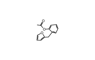 CC(=O)Oc1ccccc1Cc1ccco1